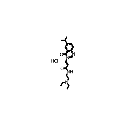 CCN(CC)CCNC(=O)C=Cn1cnc2ccc(C(C)C)cc2c1=O.Cl